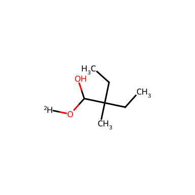 [2H]OC(O)C(C)(CC)CC